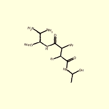 CCCC(C(=O)NC(OC)C(N)N)C(CC)C(=O)NC(C)O